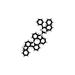 c1ccc(-c2nc(-n3c4cccc5c6cccc7c8c9c(ccc8n(c8cccc3c8c54)c67)oc3ccccc39)nc3ccc4ccccc4c23)cc1